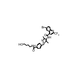 Cc1nn(Cc2ccc(C(=O)NCCCCO)cc2)c(C)c1NC(=O)c1cc(C(F)(F)F)nc2ccc(Br)cc12